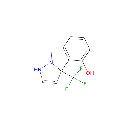 CN1NC=CC1(c1ccccc1O)C(F)(F)F